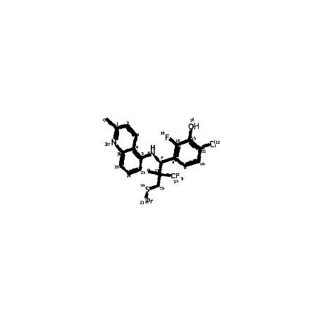 Cc1ccc2c(NC(c3ccc(Cl)c(O)c3F)C(C)(CSC(C)C)C(F)(F)F)cccc2n1